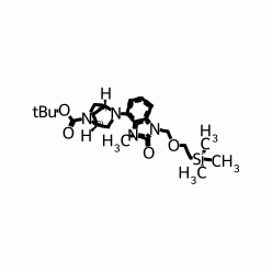 Cn1c(=O)n(COCC[Si](C)(C)C)c2cccc(N3C[C@H]4C[C@@H]3CN4C(=O)OC(C)(C)C)c21